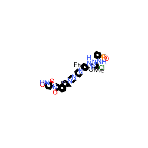 CCc1cc(Nc2ncc(Cl)c(Nc3ccccc3P(C)(C)=O)n2)c(OC)cc1N1CCC(N2CCN(C3(/C=C\c4cccc5c4CN(C4CCC(=O)NC4=O)C5=O)CC3)CC2)CC1